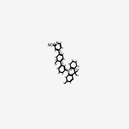 CC1C=CC2=C(C1)N(C1=CC(C3=CC=C(c4ccnc(C#N)c4)CC3C)=CCC1)C1=C(CCCC1)C2(C)C